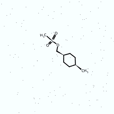 CS(=O)(=O)OC[C@H]1CC[C@@H](C)CC1